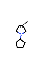 C[C@@H]1CCN(C2CCCC2)C1